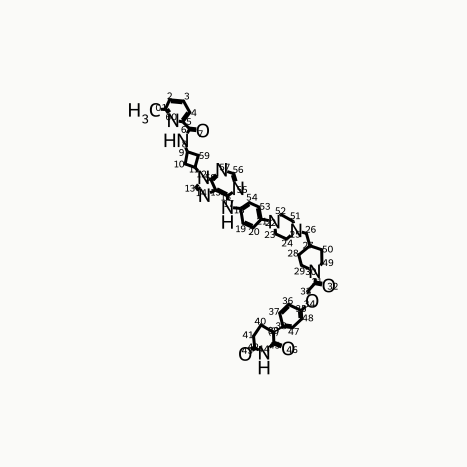 Cc1cccc(C(=O)NC2CC(n3cnc4c(Nc5ccc(N6CCN(CC7CCN(C(=O)COc8ccc([C@@H]9CCC(=O)NC9=O)cc8)CC7)CC6)cc5)ncnc43)C2)n1